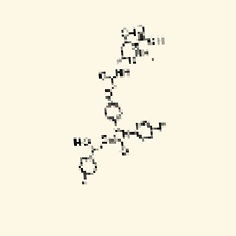 CC(CC(=O)CNC(=O)COc1ccc([C@@H]2[C@@H](SCC(O)c3ccc(F)cc3)C(=O)N2c2ccc(F)cc2)cc1)[C@@H](N)C(=O)O